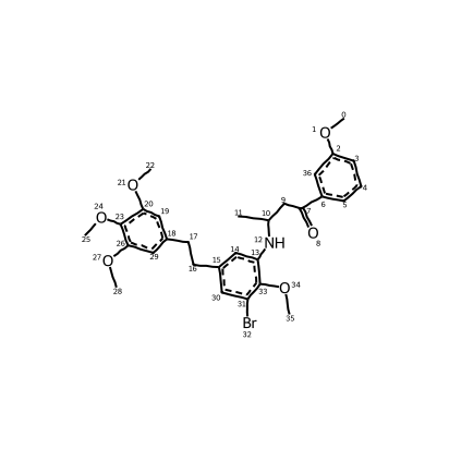 COc1cccc(C(=O)CC(C)Nc2cc(CCc3cc(OC)c(OC)c(OC)c3)cc(Br)c2OC)c1